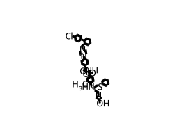 Cc1cc(S(=O)(=O)NC(=O)c2ccc(N3CCN(Cc4ccccc4-c4ccc(Cl)cc4)CC3)cc2)ccc1N[C@H](CCN1CC(O)C1)CSc1ccccc1